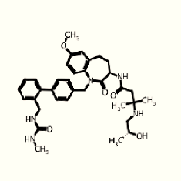 CNC(=O)NCc1ccccc1-c1ccc(CN2C(=O)[C@H](NC(=O)CC(C)(C)NC[C@@H](C)O)CCc3cc(OC)ccc32)cc1